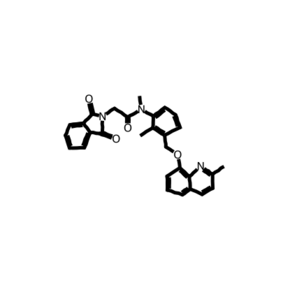 Cc1ccc2cccc(OCc3cccc(N(C)C(=O)CN4C(=O)c5ccccc5C4=O)c3C)c2n1